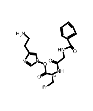 CC(C)C[C@H](NC(=O)CNC(=O)c1ccccc1)C(=O)On1cnc(CCN)c1